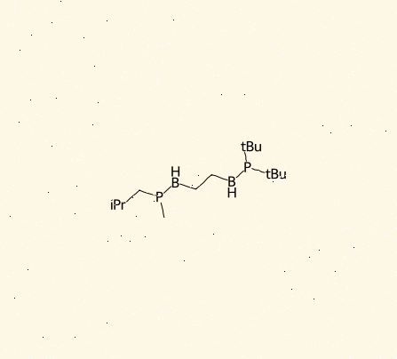 CC(C)CP(C)BCCBP(C(C)(C)C)C(C)(C)C